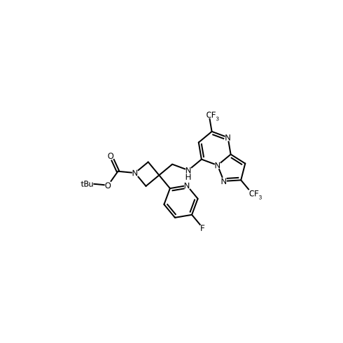 CC(C)(C)OC(=O)N1CC(CNc2cc(C(F)(F)F)nc3cc(C(F)(F)F)nn23)(c2ccc(F)cn2)C1